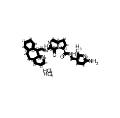 Cc1nc(N)ccc1CNC(=O)[C@@H]1CCc2cnc(NCC3c4ccccc4CCc4cccnc43)c(=O)n21.Cl.Cl